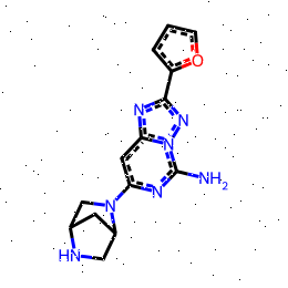 Nc1nc(N2CC3CC2CN3)cc2nc(-c3ccco3)nn12